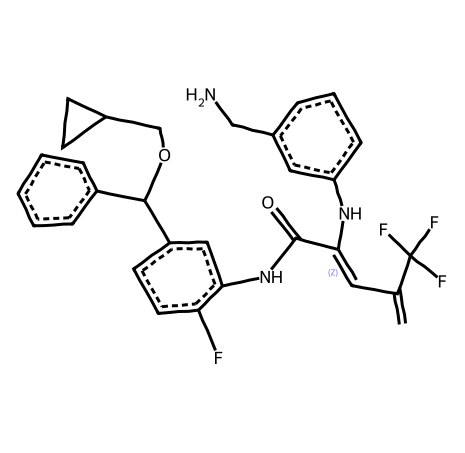 C=C(/C=C(\Nc1cccc(CN)c1)C(=O)Nc1cc(C(OCC2CC2)c2ccccc2)ccc1F)C(F)(F)F